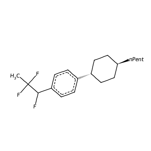 CCCCC[C@H]1CC[C@H](c2ccc(C(F)C(C)(F)F)cc2)CC1